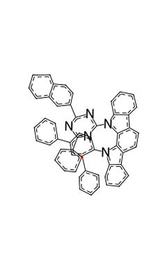 c1ccc(-c2ccc(-n3c4ccccc4c4ccc5c6ccccc6n(-c6nc(-c7ccccc7)nc(-c7ccc8ccccc8c7)n6)c5c43)c(-c3ccccc3)c2)cc1